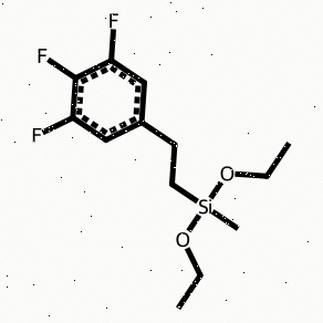 CCO[Si](C)(CCc1cc(F)c(F)c(F)c1)OCC